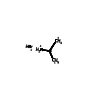 Br.CC(C)N